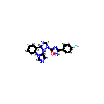 Fc1ccc(-c2noc(N3CN=C4c5ccccc5-n5cncc5N43)n2)cc1